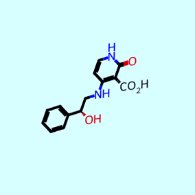 O=C(O)c1c(NC[C@@H](O)c2ccccc2)cc[nH]c1=O